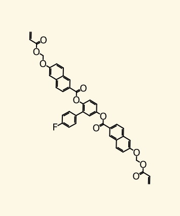 C=CC(=O)OCOc1ccc2cc(C(=O)Oc3ccc(OC(=O)c4ccc5cc(OCOC(=O)C=C)ccc5c4)c(-c4ccc(F)cc4)c3)ccc2c1